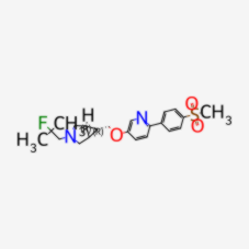 CC(C)(F)CN1CC2[C@@H](COc3ccc(-c4ccc(S(C)(=O)=O)cc4)nc3)[C@@H]2C1